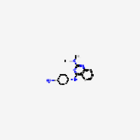 CN(C)c1nc(N[C@H]2CC[C@@H](N)CC2)c2ccccc2n1